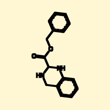 O=C(OCc1ccccc1)C1NCc2ccccc2N1